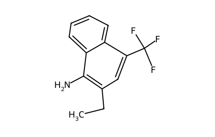 CCc1cc(C(F)(F)F)c2ccccc2c1N